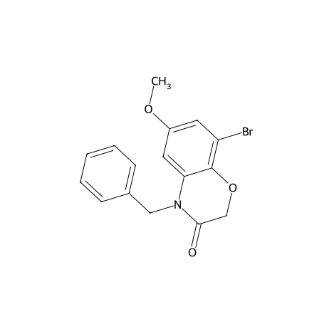 COc1cc(Br)c2c(c1)N(Cc1ccccc1)C(=O)CO2